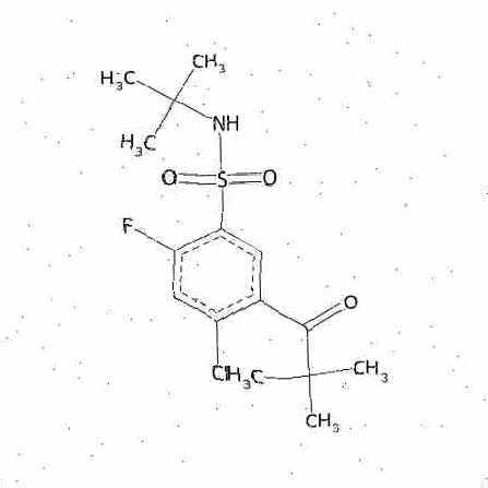 CC(C)(C)NS(=O)(=O)c1cc(C(=O)C(C)(C)C)c(Cl)cc1F